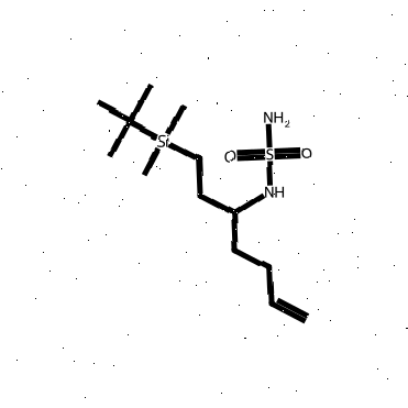 C=CCCC(CC[Si](C)(C)C(C)(C)C)NS(N)(=O)=O